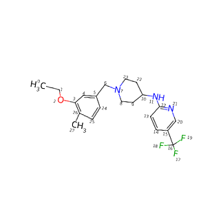 CCOc1cc(CN2CCC(Nc3ccc(C(F)(F)F)cn3)CC2)ccc1C